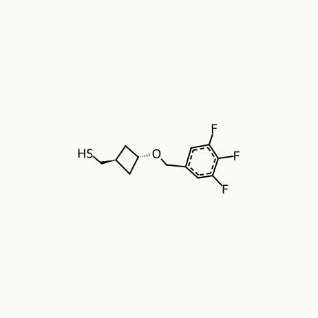 Fc1cc(CO[C@H]2C[C@H](CS)C2)cc(F)c1F